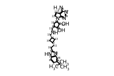 CC(C)(C)c1ccc2[nH]c(CC[C@H]3C[C@H](CNC[C@H]4C[C@@H](n5ccc6c(N)ncnc65)[C@H](O)[C@@H]4O)C3)nc2c1